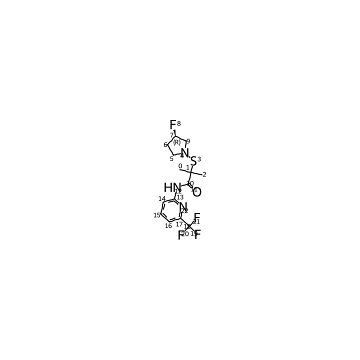 CC(C)(SN1CC[C@@H](F)C1)C(=O)Nc1cccc(C(F)(F)F)n1